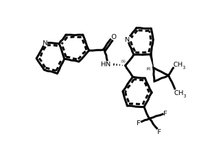 CC1(C)C[C@H]1c1cccnc1[C@@H](NC(=O)c1ccc2ncccc2c1)c1ccc(C(F)(F)F)cc1